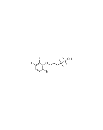 CC(C)(CCCOc1c(Br)ccc(F)c1F)[Si](C)(C)O